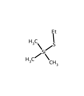 [CH2]CS[Si](C)(C)C